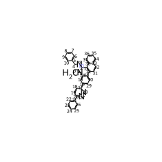 C=N/C(=N\Cc1ccccc1)c1c(-c2ccc(-c3ccc(-c4ccccc4)nn3)cc2)ccc2ccccc12